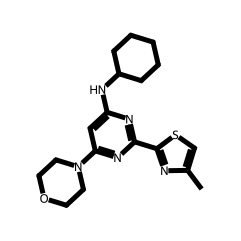 Cc1csc(-c2nc(NC3CCCCC3)cc(N3CCOCC3)n2)n1